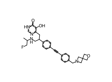 CC(CF)NCC(Cc1nc[nH]c(=O)c1O)c1ccc(C#Cc2ccc(CN3CC4(COC4)C3)cc2)cc1